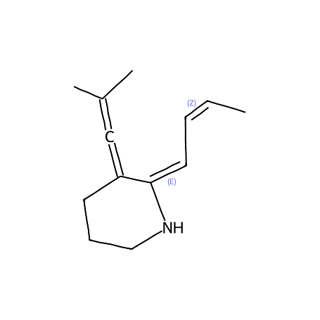 C/C=C\C=C1\NCCCC1=C=C(C)C